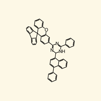 c1ccc(C2=NC(c3ccc4c(c3)Oc3ccccc3C43c4ccccc4-c4ccccc43)=NC(c3ccc(-c4ccccc4)c4ccccc34)N2)cc1